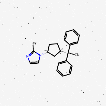 CC(C)c1nccn1[C@@H]1CC[C@H](C(C#N)(c2ccccc2)c2ccccc2)C1